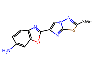 CSc1nn2cc(-c3nc4ccc(N)cc4o3)nc2s1